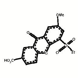 CCS(=O)(=O)c1cc(OC)cc2c(=O)c3cc(C(=O)O)ccc3oc12